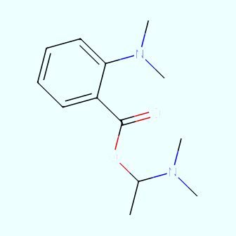 CC(OC(=O)c1ccccc1N(C)C)N(C)C